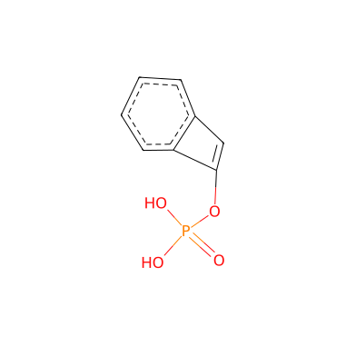 O=P(O)(O)OC1=Cc2ccccc21